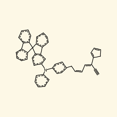 C#C/C(=C\C=C/Cc1ccc(N(c2ccccc2)c2ccc3c(c2)-c2ccccc2C32c3ccccc3-c3ccccc32)cc1)C1=CC=CC1